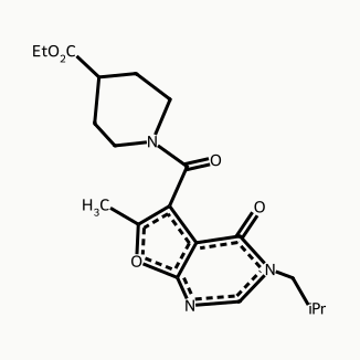 CCOC(=O)C1CCN(C(=O)c2c(C)oc3ncn(CC(C)C)c(=O)c23)CC1